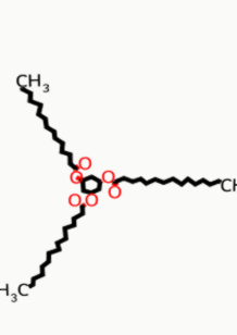 CCCCCCCCCCCCCCC(=O)OC1CC(OC(=O)CCCCCCCCCCCCCC)CC(OC(=O)CCCCCCCCCCCCCC)C1